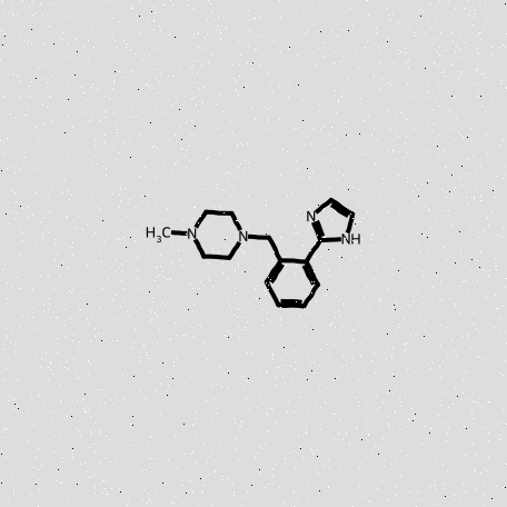 CN1CCN(Cc2ccccc2-c2ncc[nH]2)CC1